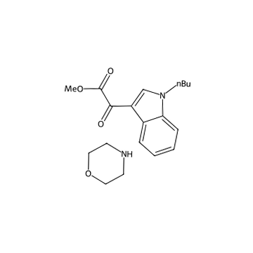 C1COCCN1.CCCCn1cc(C(=O)C(=O)OC)c2ccccc21